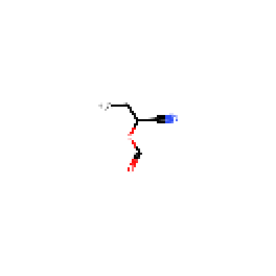 CCC(C#N)OC=O